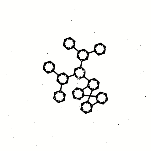 c1ccc(-c2cc(-c3ccccc3)cc(-c3cc(-c4cc(-c5ccccc5)cc(-c5ccccc5)c4)nc(-c4cccc5c4-c4ccccc4C54c5ccccc5-c5ccccc54)n3)c2)cc1